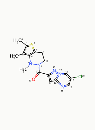 Cc1sc2c(c1C)N(C)N(C(=O)c1cc3ncc(Cl)cn3n1)CC2